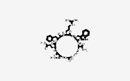 N=C(N)NCCC[C@@H]1NC(=O)C(Cc2ccccc2)NC(=O)[C@H](CCC(N)=O)NC(=O)C(NC=O)CCC(=O)NCCCC(C(N)=O)NC(=O)[C@H](Cc2c[nH]c3ccccc23)NC1=O